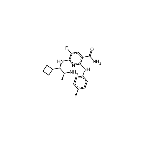 C[C@H](N)[C@H](Nc1nc(Nc2ccc(F)cc2)c(C(N)=O)cc1F)C1CCC1